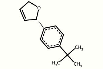 CC(C)(C)c1ccc([C@@H]2C=CCO2)cc1